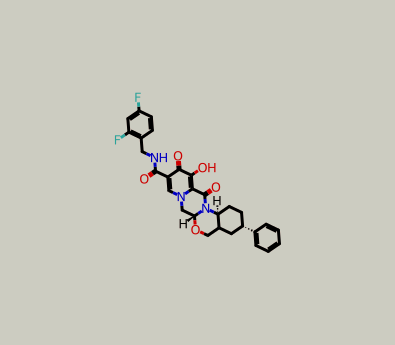 O=C(NCc1ccc(F)cc1F)c1cn2c(c(O)c1=O)C(=O)N1[C@@H](C2)OCC2C[C@@H](c3ccccc3)CC[C@@H]21